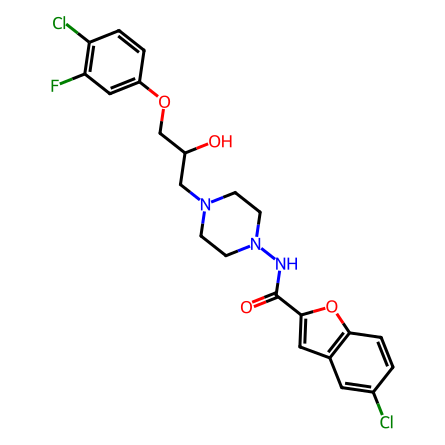 O=C(NN1CCN(CC(O)COc2ccc(Cl)c(F)c2)CC1)c1cc2cc(Cl)ccc2o1